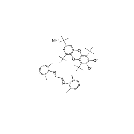 CC(C)(C)c1cc2c(c(C(C)(C)C)c1)Oc1c(c(C(C)(C)C)c([O-])c([O-])c1C(C)(C)C)O2.Cc1cccc(C)c1N=CC=Nc1c(C)cccc1C.[Ni+2]